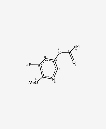 CCCC(=O)Oc1cnc(OC)c(F)c1